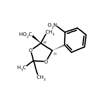 CC1(C)O[C@@H](c2ccccc2[N+](=O)[O-])[C@](C)(C(=O)O)O1